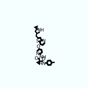 Cc1ccc(NC(=O)C2(C(=O)Nc3ccc(Oc4ccnc5cc(CC6CNC7(CC7)C6)sc45)cn3)CC2)cc1